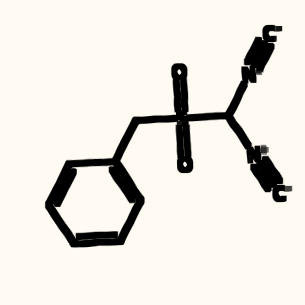 [C-]#[N+]C([N+]#[C-])S(=O)(=O)Cc1ccccc1